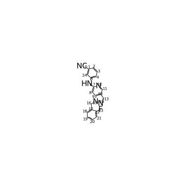 N#Cc1cccc(Nc2cc3c(cn2)cnn3Cc2ccccc2F)c1